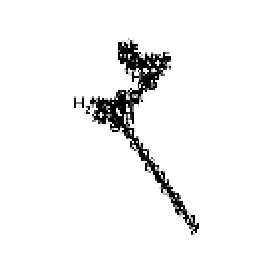 CCCOCCOCCOCCOCCOCCOCCOCCOCCOCCC(=O)N[C@@H](Cc1ccccc1)C(=O)N[C@@H](CCCCN)C(=O)Nc1ccc(COC(=O)N[C@H]2CCc3c(C)c(F)cc4nc5c(c2c34)Cn2c-5cc3c(c2=O)COC(=O)[C@@H]3CC)cc1